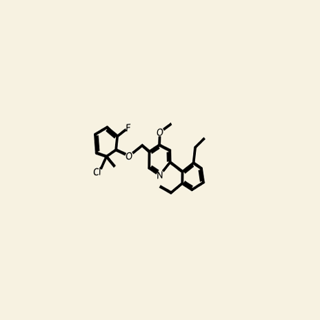 CCc1cccc(CC)c1-c1cc(OC)c(COC2C(F)=CC=CC2(C)Cl)cn1